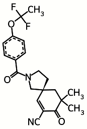 CC(F)(F)Oc1ccc(C(=O)N2CC[C@@]3(C=C(C#N)C(=O)C(C)(C)C3)C2)cc1